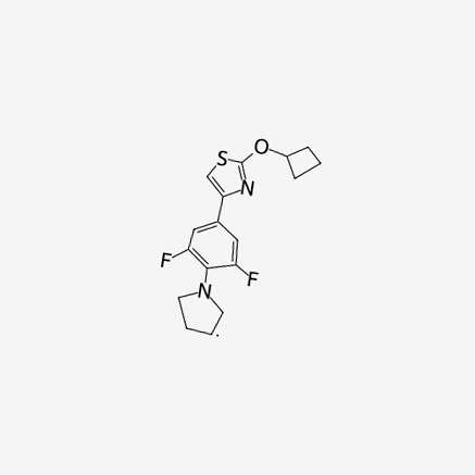 Fc1cc(-c2csc(OC3CCC3)n2)cc(F)c1N1C[CH]CC1